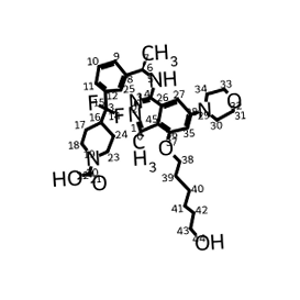 Cc1nnc(N[C@H](C)c2cccc(C(F)(F)C3CCN(C(=O)O)CC3)c2)c2cc(N3CCOCC3)cc(OCCCCCCO)c12